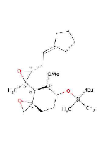 CO[C@@H]1C(O[Si](C)(C)C(C)(C)C)CC[C@]2(CO2)[C@H]1[C@@]1(C)O[C@@H]1CC=C1CCCC1